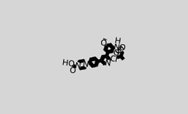 COc1cc(NS(=O)(=O)CC(C)C)cc(-c2cc(-c3ccc(N4CCN(C(=O)O)CC4)cc3)cnc2Cl)c1